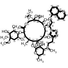 CC[C@H]1OC(=O)[C@H](C)[C@@H](O[C@H]2C[C@@](C)(OC)[C@@H](O)[C@H](C)O2)[C@H](C)[C@@H](O[C@@H]2O[C@H](C)C[C@H](N(C)CCc3cn(CCOc4cccc5ncccc45)nn3)[C@H]2O)[C@](C)(O)C[C@@H](C)CN(C)[C@H](C)[C@@H](O)[C@]1(C)O